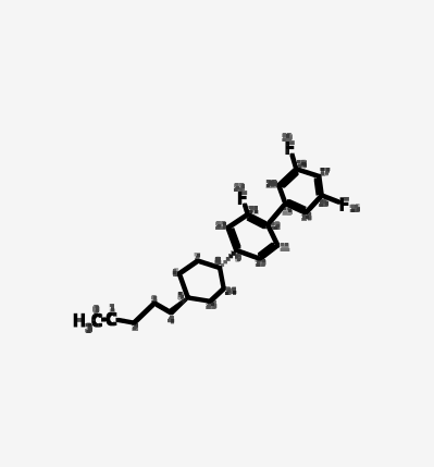 CCCCC[C@H]1CC[C@H](c2ccc(-c3cc(F)cc(F)c3)c(F)c2)CC1